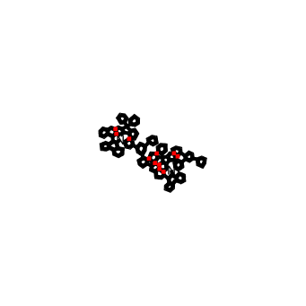 c1ccc(-c2cc(-c3ccc(N(c4cccc5c4-c4ccccc4C5(c4ccccc4)c4ccccc4)c4c(-c5cccc6ccccc56)c5ccccc5c5ccccc45)cc3)cc(-c3cccc(-c4ccc5cc(-c6c(N(c7ccc(-c8cc(-c9ccccc9)ccc8-c8ccccc8)cc7)c7cccc8c7-c7ccccc7C8(c7ccccc7)c7ccccc7)c7ccccc7c7ccccc67)ccc5c4)c3)c2)cc1